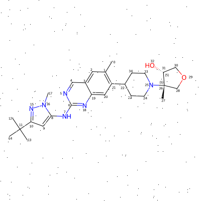 Cc1cc2cnc(Nc3cc(C(C)(C)C)nn3C)nc2cc1C1CCN([C@@]2(C)COC[C@H]2O)CC1